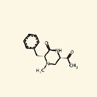 CC(=O)[C@@H]1CN(C)[C@H](Cc2ccccc2)C(=O)N1